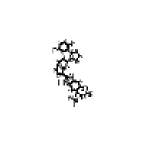 Fc1ccc(F)c([C@H]2CCCN2c2ccn3ncc(-c4nc5cc(OC(F)F)c(OC(F)F)cc5[nH]4)c3n2)c1